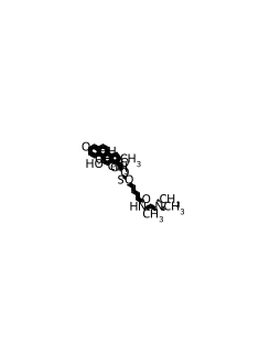 CCN(CC)CCC(C)NC(=O)CCCCCOC(=S)OCC(=O)[C@@]1(O)[C@H](C)C[C@H]2[C@@H]3CCC4=CC(=O)C=C[C@]4(C)[C@@]3(F)[C@@H](O)C[C@@]21C